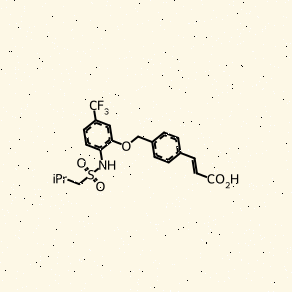 CC(C)CS(=O)(=O)Nc1ccc(C(F)(F)F)cc1OCc1ccc(C=CC(=O)O)cc1